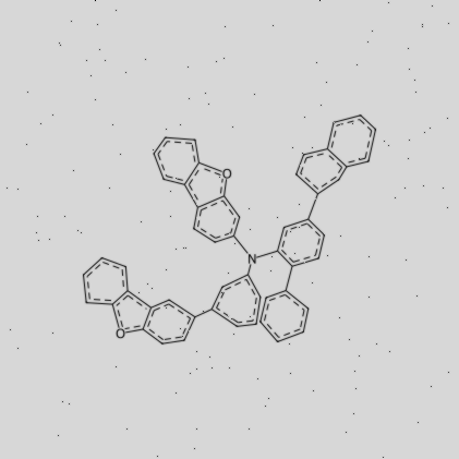 c1ccc(-c2ccc(-c3ccc4ccccc4c3)cc2N(c2cccc(-c3ccc4oc5ccccc5c4c3)c2)c2ccc3c(c2)oc2ccccc23)cc1